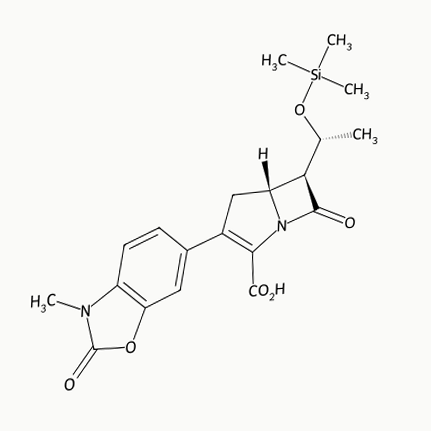 C[C@@H](O[Si](C)(C)C)[C@H]1C(=O)N2C(C(=O)O)=C(c3ccc4c(c3)oc(=O)n4C)C[C@H]12